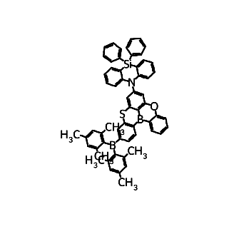 Cc1cc(C)c(B(c2ccc3c(c2)Sc2cc(N4c5ccccc5[Si](c5ccccc5)(c5ccccc5)c5ccccc54)cc4c2B3c2ccccc2O4)c2c(C)cc(C)cc2C)c(C)c1